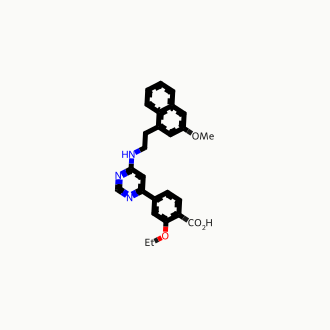 CCOc1cc(-c2cc(NCCc3cc(OC)cc4ccccc34)ncn2)ccc1C(=O)O